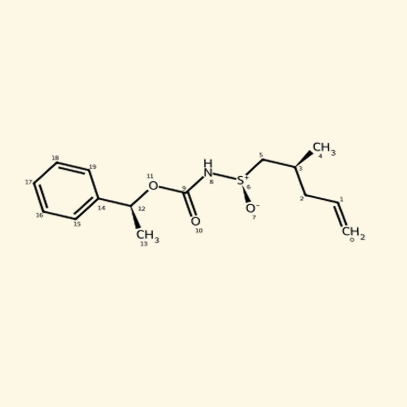 C=CC[C@H](C)C[S@@+]([O-])NC(=O)O[C@@H](C)c1ccccc1